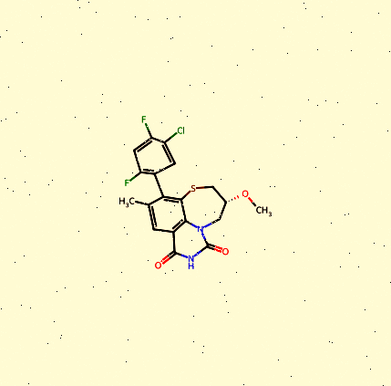 CO[C@H]1CSc2c(-c3cc(Cl)c(F)cc3F)c(C)cc3c(=O)[nH]c(=O)n(c23)C1